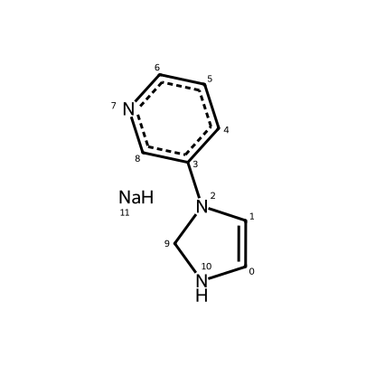 C1=CN(c2cccnc2)CN1.[NaH]